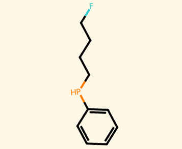 FCCCCPc1ccccc1